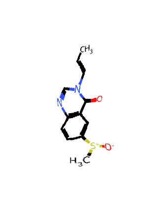 C/C=C/n1cnc2ccc([S+](C)[O-])cc2c1=O